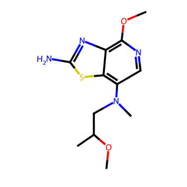 COc1ncc(N(C)CC(C)OC)c2sc(N)nc12